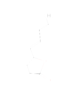 CCCC=CC1CCC(=O)O1